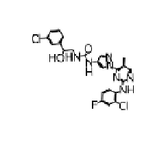 Cc1cnc(Nc2ccc(F)cc2Cl)nc1-n1cc(NC(=O)NCC(O)c2cccc(Cl)c2)cn1